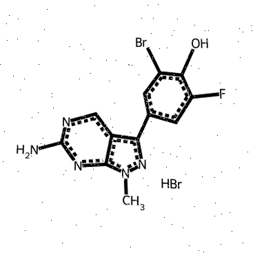 Br.Cn1nc(-c2cc(F)c(O)c(Br)c2)c2cnc(N)nc21